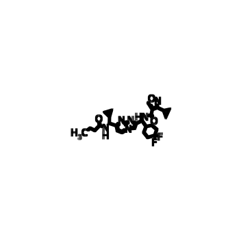 CCCC(=O)N[C@H](c1ccn2cc([C@@H](NC(=O)c3conc3C3CC3)C3CCC(F)(F)CC3)nc2n1)C1CC1